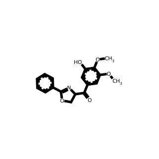 COc1cc(C(=O)C2COC(c3ccccc3)=N2)cc(O)c1OC